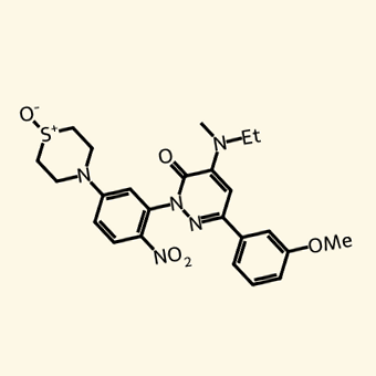 CCN(C)c1cc(-c2cccc(OC)c2)nn(-c2cc(N3CC[S+]([O-])CC3)ccc2[N+](=O)[O-])c1=O